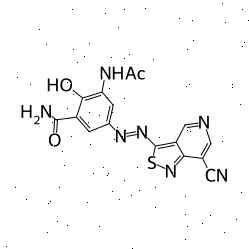 CC(=O)Nc1cc(/N=N/c2snc3c(C#N)cncc23)cc(C(N)=O)c1O